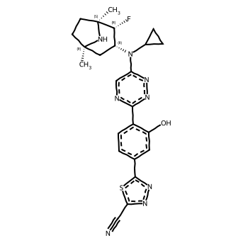 C[C@]12CC[C@](C)(N1)[C@H](F)[C@H](N(c1cnc(-c3ccc(-c4nnc(C#N)s4)cc3O)nn1)C1CC1)C2